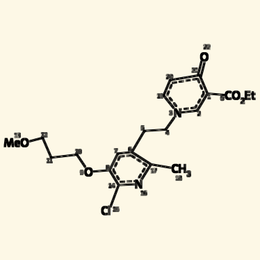 CCOC(=O)c1cn(CCc2cc(OCCCOC)c(Cl)nc2C)ccc1=O